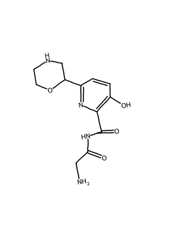 NCC(=O)NC(=O)c1nc(C2CNCCO2)ccc1O